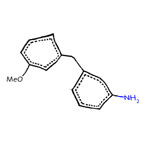 COc1cccc(Cc2[c]ccc(N)c2)c1